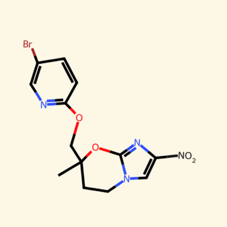 CC1(COc2ccc(Br)cn2)CCn2cc([N+](=O)[O-])nc2O1